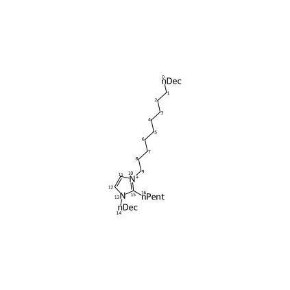 CCCCCCCCCCCCCCCCCCC[n+]1ccn(CCCCCCCCCC)c1CCCCC